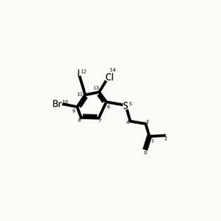 C=C(C)CCSc1ccc(Br)c(I)c1Cl